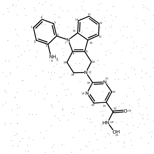 Nc1ccccc1-n1c2c(c3ccccc31)CN(c1ncc(C(=O)NO)cn1)CC2